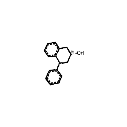 O[C@H]1Cc2ccccc2C(c2ccccc2)C1